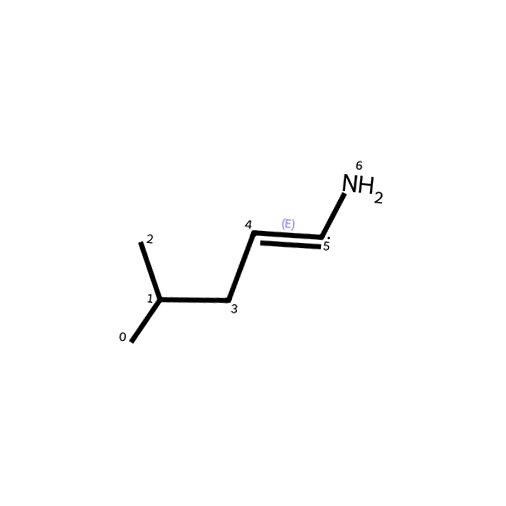 CC(C)C/C=[C]/N